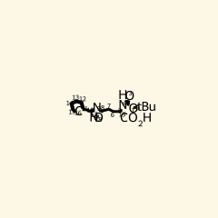 CC(C)(C)OC(=O)NC(CCc1nc(-c2ccccc2)no1)C(=O)O